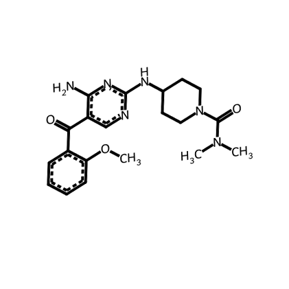 COc1ccccc1C(=O)c1cnc(NC2CCN(C(=O)N(C)C)CC2)nc1N